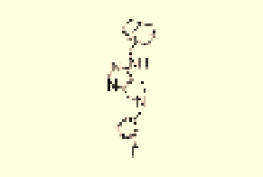 Fc1cccc(CN2CCc3c(ncnc3NCC34CC5CC(CC(C5)C3)C4)C2)c1